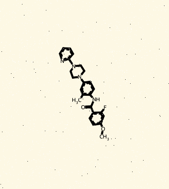 COc1ccc(C(=O)Nc2ccc(N3CCN(c4ccccn4)CC3)cc2C)c(F)c1